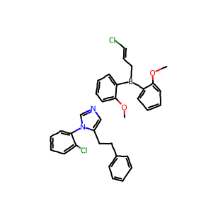 COc1ccccc1B(CC=CCl)c1ccccc1OC.Clc1ccccc1-n1cncc1CCc1ccccc1